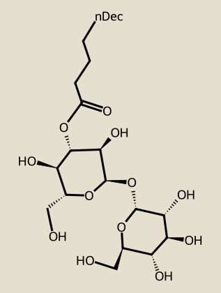 CCCCCCCCCCCCCC(=O)O[C@@H]1[C@@H](O)[C@@H](O[C@H]2O[C@H](CO)[C@@H](O)[C@H](O)[C@H]2O)O[C@H](CO)[C@H]1O